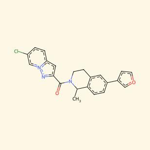 CC1c2ccc(-c3ccoc3)cc2CCN1C(=O)c1cc2ccc(Cl)cn2n1